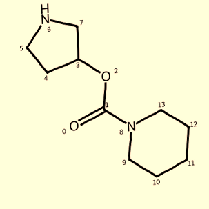 O=C(OC1CCNC1)N1CCCCC1